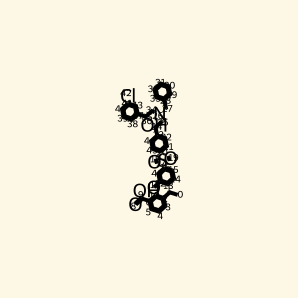 CCc1cccc(C(=O)O)c1Oc1cccc(S(=O)(=O)c2ccc(CCN(Cc3ccccc3)C[C@H](O)c3cccc(Cl)c3)cc2)c1